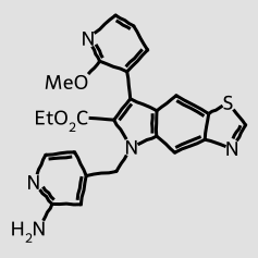 CCOC(=O)c1c(-c2cccnc2OC)c2cc3scnc3cc2n1Cc1ccnc(N)c1